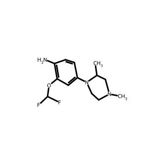 CC1CN(C)CCN1c1ccc(N)c(OC(F)F)c1